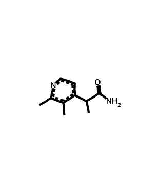 Cc1nccc(C(C)C(N)=O)c1C